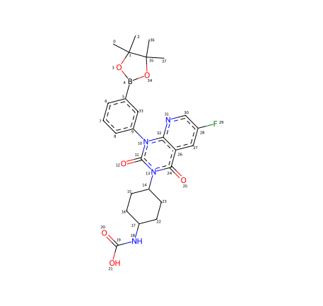 CC1(C)OB(c2cccc(-n3c(=O)n(C4CCC(NC(=O)O)CC4)c(=O)c4cc(F)cnc43)c2)OC1(C)C